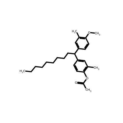 CCCCCCCCCC(c1ccc(OC)c(C)c1)c1ccc(OC(C)=O)c(C)c1